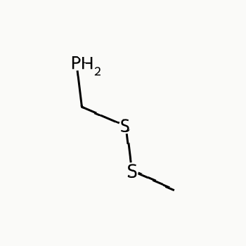 CSSCP